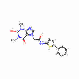 CN1C(=O)c2c(ncn2CC(=O)Nc2ccc(-c3ccccc3)s2)N(C)C1O